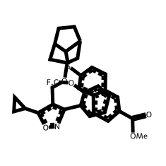 COC(=O)c1ccc2cc(SC3C4CCC3CC(OCc3c(-c5ccccc5OC(F)(F)F)noc3C3CC3)C4)ccc2c1